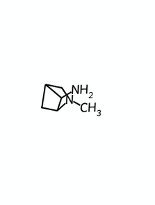 CN1CC2CC1C2N